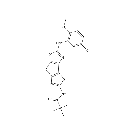 COc1ccc(Cl)cc1Nc1nc2c(s1)Cc1nc(NC(=O)C(C)(C)C)sc1-2